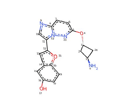 N[C@H]1C[C@H](Oc2ccc3ncc(-c4cc5cc(O)ccc5o4)n3n2)C1